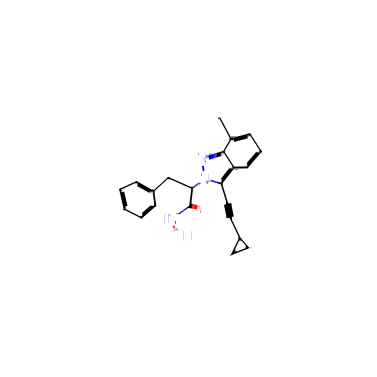 Cc1cccc2c(C#CC3CC3)n(C(Cc3ccccc3)C(=O)NO)nc12